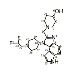 OC1CCN(Cc2nc3cnc4[nH]ccc4c3n2C2CCN(CC(F)F)CC2)CC1